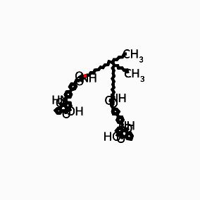 CCCCCCC(CCCCCCCCCCCNC(=O)OCc1ccc(-c2ccc(Nc3ccc(O)c4c3C(=O)c3ccccc3C4=O)cc2)cc1)C(CCCCCC)CCCCCCCCCCCNC(=O)OCc1ccc(-c2ccc(Nc3ccc(O)c4c3C(=O)c3ccccc3C4=O)cc2)cc1